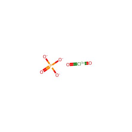 O=P([O-])([O-])[O-].O=[Cl+3]=O